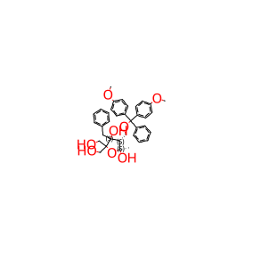 COc1ccc(C(OC[C@@H]2[C@@](C)(O)OC(CO)(CO)[C@]2(O)Cc2ccccc2)(c2ccccc2)c2ccc(OC)cc2)cc1